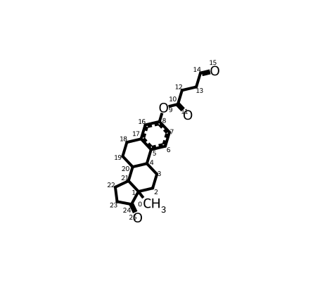 CC12CCC3c4ccc(OC(=O)CCC=O)cc4CCC3C1CCC2=O